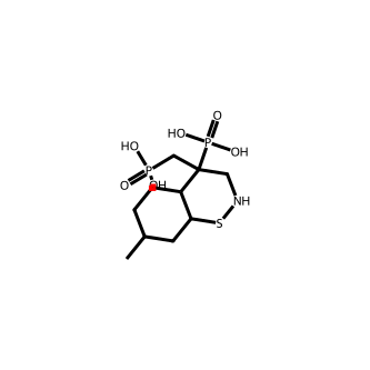 CC1CCC2C(C1)SNCC2(CP(=O)(O)O)P(=O)(O)O